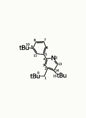 CC(C)(C)Cc1cc(-c2cccc(C(C)(C)C)c2)ncc1C(C)(C)C